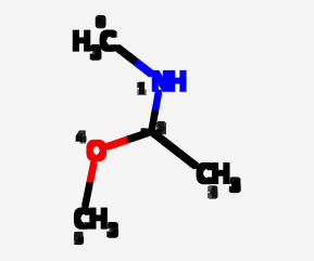 CN[C](C)OC